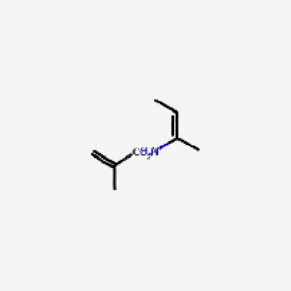 C=C(C)C(=O)O.CC=C(C)N